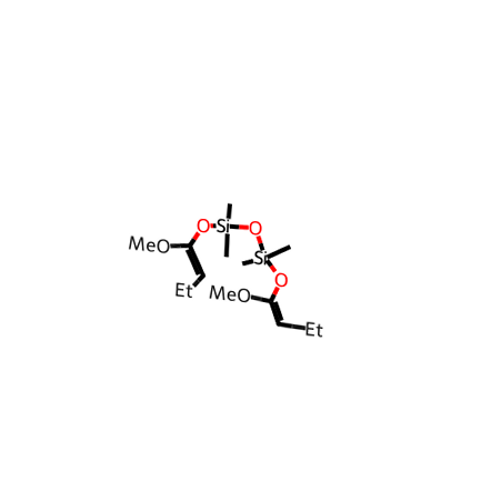 CCC=C(OC)O[Si](C)(C)O[Si](C)(C)OC(=CCC)OC